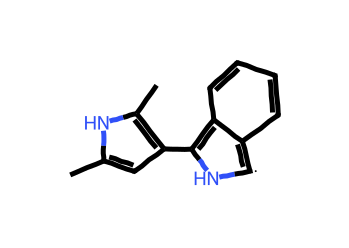 Cc1cc(-c2[nH][c]c3ccccc23)c(C)[nH]1